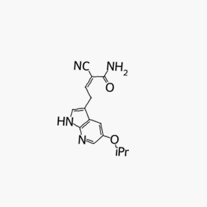 CC(C)Oc1cnc2[nH]cc(CC=C(C#N)C(N)=O)c2c1